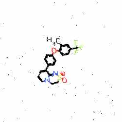 Cc1cc(C(F)(F)F)ccc1Oc1ccc(C2=CC=CN3CCS(=O)(=O)N=C23)cc1